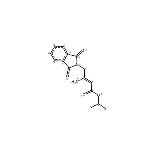 CC(C)OC(=O)/C=C(\N)CN1C(=O)c2ccccc2C1=O